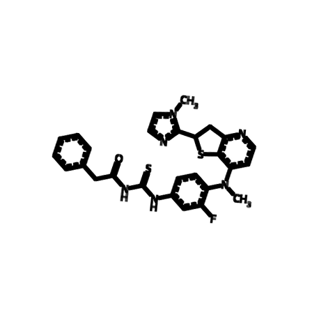 CN(c1ccc(NC(=S)NC(=O)Cc2ccccc2)cc1F)c1ccnc2c1SC(c1nccn1C)C2